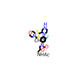 CC(=O)NCC1CN(c2ccc(N3CCNCC3C(=S)SC(C=O)N3CCOCC3)c(F)c2)C(=O)O1